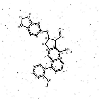 COc1ncccc1-c1cccc2c(N)c3c(nc12)CN(Cc1ccc2c(c1)OCO2)C3C=O